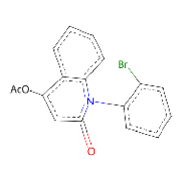 CC(=O)Oc1cc(=O)n(-c2ccccc2Br)c2ccccc12